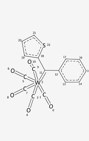 O=[C]=[W](=[C]=O)(=[C]=O)(=[C]=O)(=[C]=O)=[C](c1ccccc1)c1cccs1